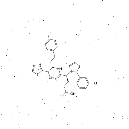 CC(O)CC[C@@H](C(=O)N[C@@H](CCc1ccc(F)cc1)C(O)c1nccs1)N1C=CSC1c1cccc(Cl)c1